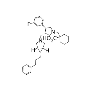 O=C(O)C1(CN2C[C@H](CN3C[C@@H]4[C@@H](CCCc5ccccc5)[C@@H]4C3)[C@@H](c3cccc(F)c3)C2)CCCCC1